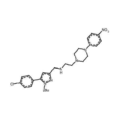 CC(C)(C)n1nc(CNCCN2CCN(c3ccc([N+](=O)[O-])cc3)CC2)cc1-c1ccc(Cl)cc1